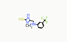 CN1C(S)NC1CNc1cccc(C(F)(F)F)c1